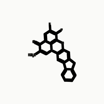 O=C(O)c1cn2c3c(c(F)c(F)cc3c1=O)Oc1cc3c(cc1-2)-c1ccccc1C3